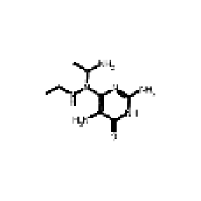 CCNN(c1nc(N)[nH]c(=O)c1N)C(C)N